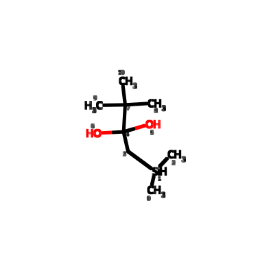 C[SiH](C)CC(O)(O)C(C)(C)C